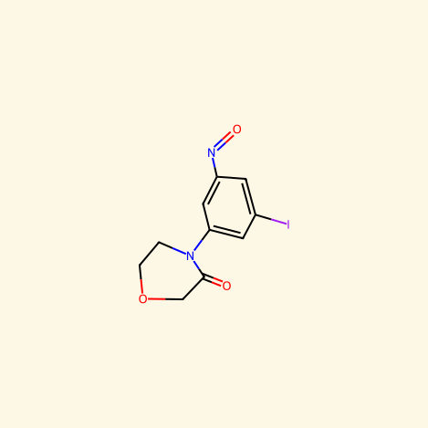 O=Nc1cc(I)cc(N2CCOCC2=O)c1